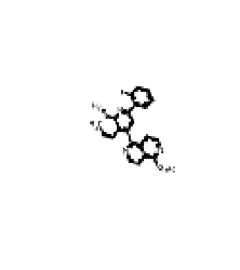 C=Nc1nc(-c2ccccc2F)cc(-c2nccc3c(NC(C)=O)nccc23)c1/C=C\C